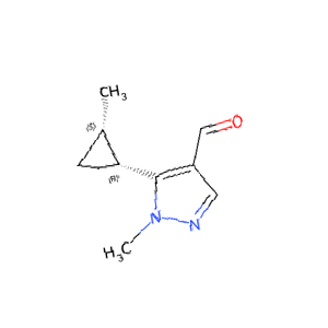 C[C@H]1C[C@H]1c1c(C=O)cnn1C